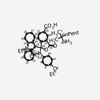 CCCCCC(C)(C)N.CCOc1ccc(N(c2ccccc2)C2(c3c(C)n(CC)c4ccccc34)OC(=O)c3cc(C(=O)O)ccc32)cc1